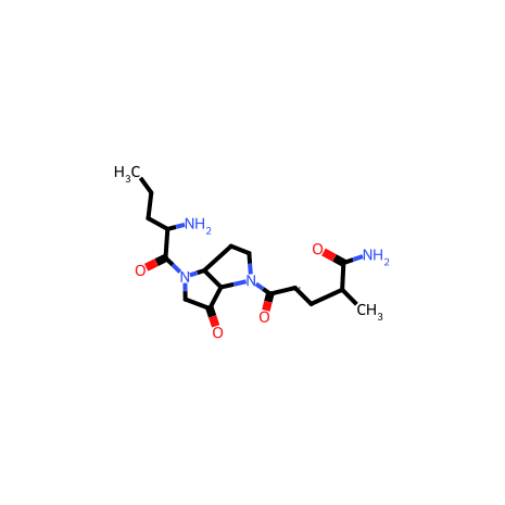 CCCC(N)C(=O)N1CC(=O)C2C1CCN2C(=O)[CH]CC(C)C(N)=O